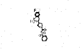 N[C@H](Cc1cc(F)c(F)cc1F)C1CCN(C(=O)CS(=O)(=O)C2CCCCC2)CC1